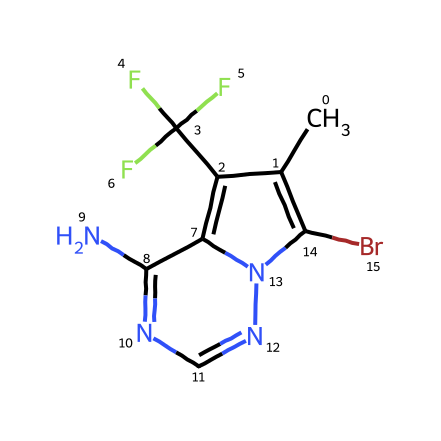 Cc1c(C(F)(F)F)c2c(N)ncnn2c1Br